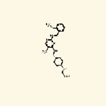 O=C(O)CN[C@H]1CC[C@H](CNc2nc(NCc3ccccc3OC(F)(F)F)ncc2[N+](=O)[O-])CC1